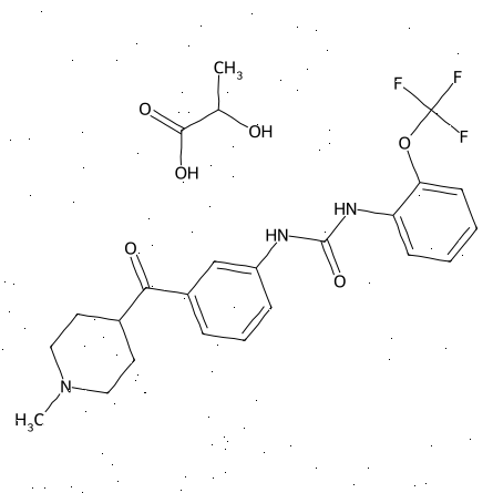 CC(O)C(=O)O.CN1CCC(C(=O)c2cccc(NC(=O)Nc3ccccc3OC(F)(F)F)c2)CC1